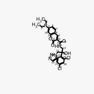 CCN(CC)c1ccc2cc(C(=O)NCC(O)(Cn3ccnn3)c3ccc(Cl)cc3Cl)c(=O)oc2c1